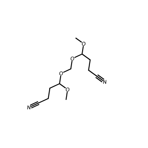 COC(CCC#N)OCOC(CCC#N)OC